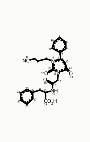 N#CCCCn1c(-c2ccccc2)cc(=O)n(CC(=O)NC(Cc2ccccc2)C(=O)O)c1=O